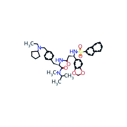 CCN(Cc1ccc(C[C@@H](NC(=O)C[C@@H](NS(=O)(=O)c2ccc3ccccc3c2)c2ccc3c(c2)OCO3)C(=O)N(C)C(C)C)cc1)C1CCCC1